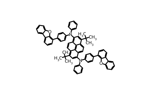 CC(C)(C)c1cc(N(c2ccccc2)c2ccc(-c3cccc4c3oc3ccccc34)cc2)c2ccc3c(C(C)(C)C)cc(N(c4ccccc4)c4ccc(-c5cccc6c5oc5ccccc56)cc4)c4ccc1c2c43